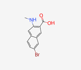 CNc1cc2ccc(Br)cc2cc1C(=O)O